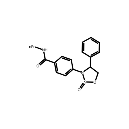 CCCNC(=O)c1ccc(N2C(c3ccccc3)COS2=O)cc1